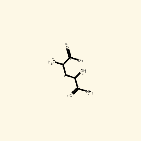 CC(CC(O)C(N)=O)C([O])=O